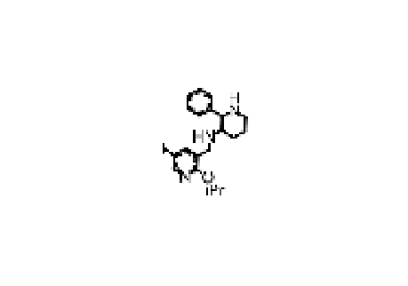 CC(C)Oc1ncc(I)cc1CNC1CCCNC1c1ccccc1